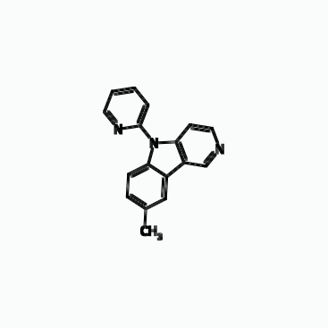 Cc1ccc2c(c1)c1cnccc1n2-c1ccccn1